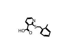 Cc1ccccc1CSc1ncccc1C(=O)O